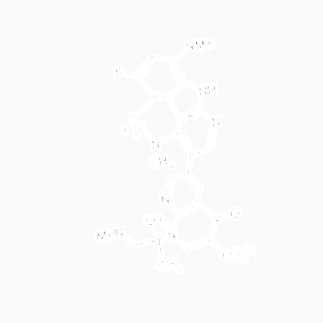 CNCC(C)(C)n1cc(C(=O)O)c(=O)c2cc(-c3cnc4[nH]c5c(NC)cc(F)c(F)c5c4c3N(C)C)cnc21